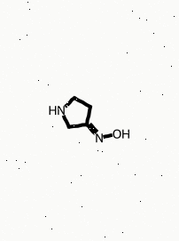 O/N=C1\CCNC1